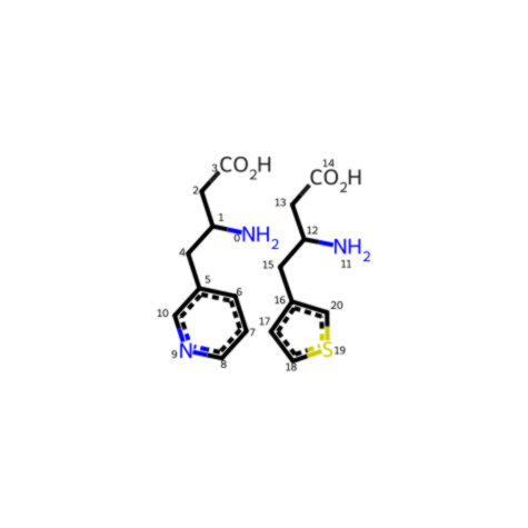 NC(CC(=O)O)Cc1cccnc1.NC(CC(=O)O)Cc1ccsc1